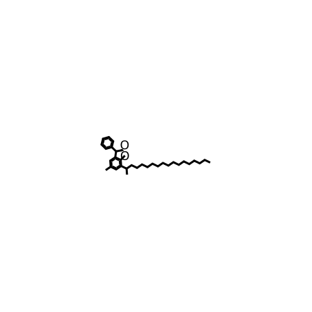 CCCCCCCCCCCCCCCCC(C)c1cc(C)cc2c1OC(=O)C2c1ccccc1